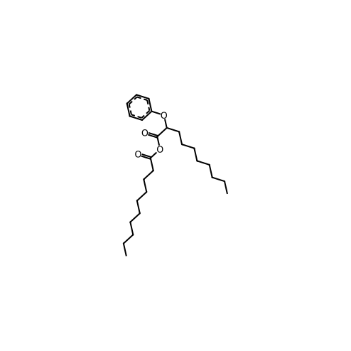 CCCCCCCCCC(=O)OC(=O)C(CCCCCCCC)Oc1ccccc1